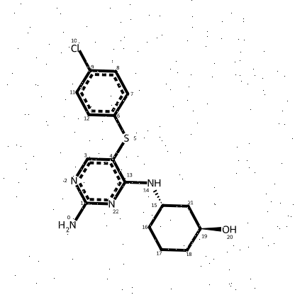 Nc1ncc(Sc2ccc(Cl)cc2)c(N[C@H]2CCC[C@H](O)C2)n1